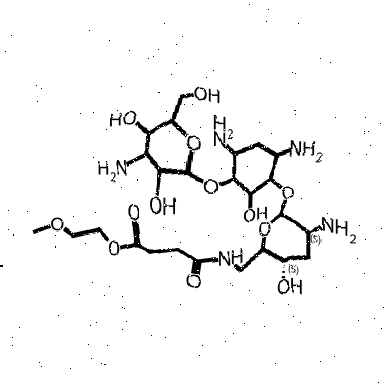 COCCOC(=O)CCC(=O)NCC1OC(OC2C(N)CC(N)C(OC3OC(CO)C(O)C(N)C3O)C2O)[C@@H](N)C[C@@H]1O